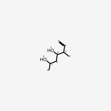 C=CC(C)C(O)CC(C)O